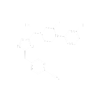 Cl.N#Cc1ccc(Cc2ncc(CN3CCN(c4cccc(Cl)c4)C(=O)C3)[nH]2)cc1